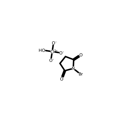 O=C1CCC(=O)N1Br.[O-][Cl+3]([O-])([O-])O